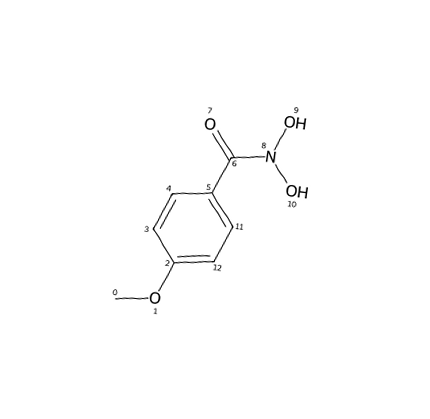 COc1ccc(C(=O)N(O)O)cc1